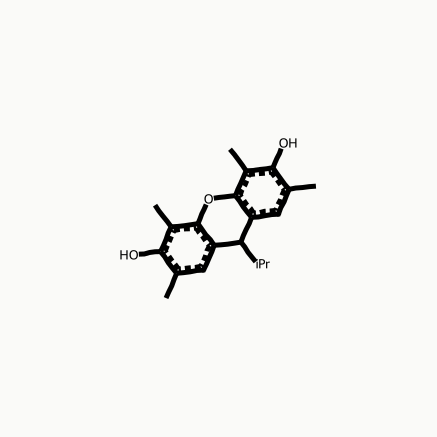 Cc1cc2c(c(C)c1O)Oc1c(cc(C)c(O)c1C)C2C(C)C